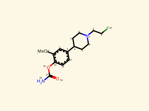 COc1cc(C2CCN(CCF)CC2)ccc1OC(N)=O